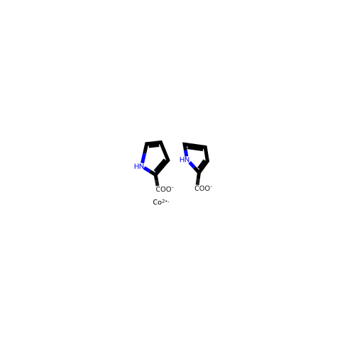 O=C([O-])c1ccc[nH]1.O=C([O-])c1ccc[nH]1.[Co+2]